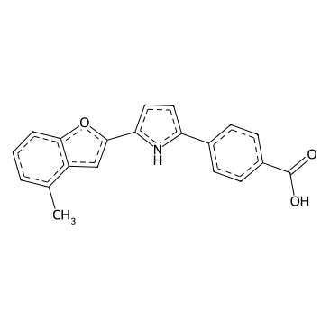 Cc1cccc2oc(-c3ccc(-c4ccc(C(=O)O)cc4)[nH]3)cc12